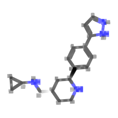 c1cc(-c2ccc([C@@H]3C[C@@H](CNC4CC4)CCN3)cc2)[nH]n1